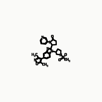 Cc1noc(C)c1-c1ccc2c(c1)nc(C1CCC(=O)N1c1cccnc1)n2C1CCN(S(C)(=O)=O)C1